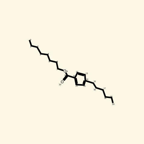 CCCCCCCCOC(=O)c1ccc(CCCCCC)cc1